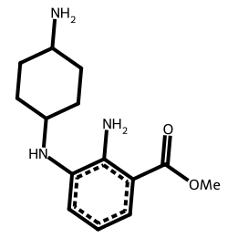 COC(=O)c1cccc(NC2CCC(N)CC2)c1N